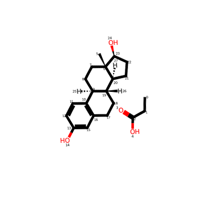 CCC(=O)O.C[C@]12CC[C@@H]3c4ccc(O)cc4CC[C@H]3[C@@H]1CC[C@@H]2O